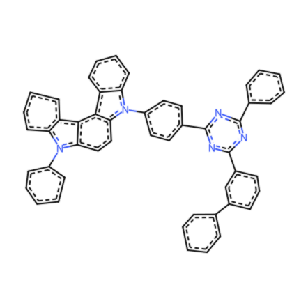 c1ccc(-c2cccc(-c3nc(-c4ccccc4)nc(-c4ccc(-n5c6ccccc6c6c7c8ccccc8n(-c8ccccc8)c7ccc65)cc4)n3)c2)cc1